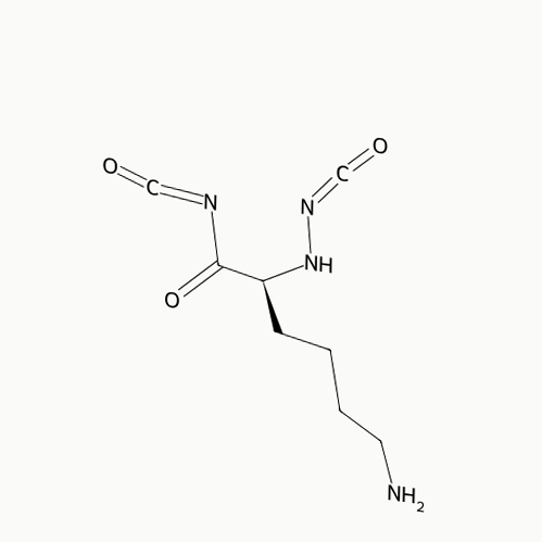 NCCCC[C@H](NN=C=O)C(=O)N=C=O